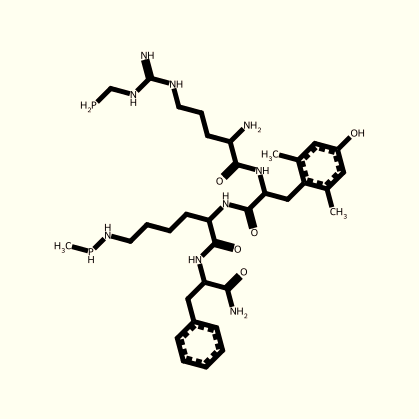 CPNCCCCC(NC(=O)C(Cc1c(C)cc(O)cc1C)NC(=O)C(N)CCCNC(=N)NCP)C(=O)NC(Cc1ccccc1)C(N)=O